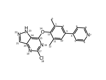 Cc1cc(-c2ccncc2)cc(C)c1Oc1nc(Cl)nc2cn[nH]c12